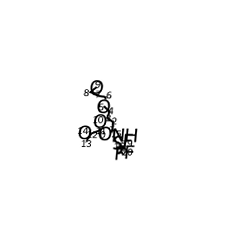 O=C(CC(COCC1CO1)OCC1CO1)NSC(F)(F)F